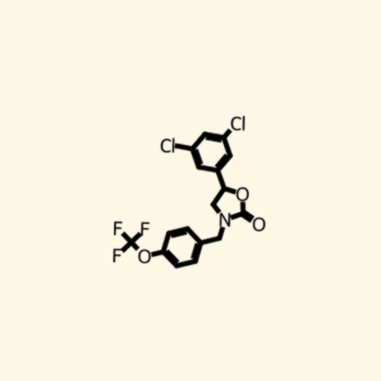 O=C1OC(c2cc(Cl)cc(Cl)c2)CN1Cc1ccc(OC(F)(F)F)cc1